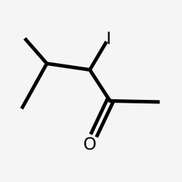 CC(=O)C(I)C(C)C